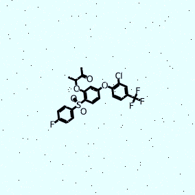 CC(=O)C(C)Oc1cc(Oc2ccc(C(F)(F)F)cc2Cl)ccc1S(=O)(=O)c1ccc(F)cc1